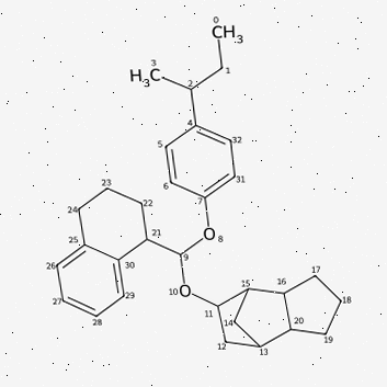 CCC(C)c1ccc(OC(OC2CC3CC2C2CCCC32)C2CCCc3ccccc32)cc1